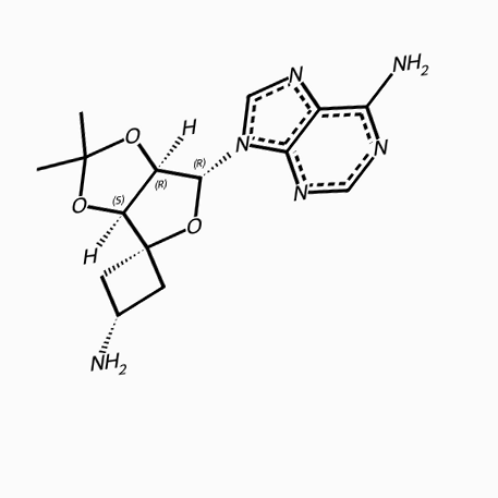 CC1(C)O[C@H]2[C@H](n3cnc4c(N)ncnc43)O[C@]3(C[C@@H](N)C3)[C@H]2O1